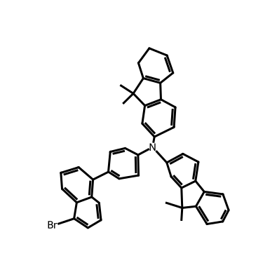 CC1(C)C2=C(C=CCC2)c2ccc(N(c3ccc(-c4cccc5c(Br)cccc45)cc3)c3ccc4c(c3)C(C)(C)c3ccccc3-4)cc21